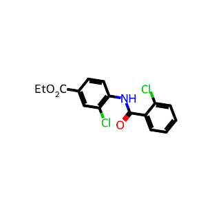 CCOC(=O)c1ccc(NC(=O)c2ccccc2Cl)c(Cl)c1